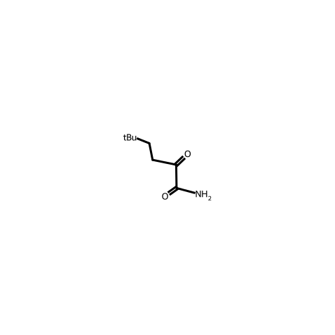 CC(C)(C)CCC(=O)C(N)=O